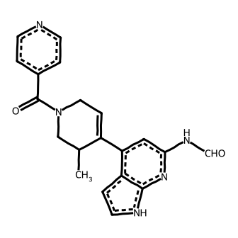 CC1CN(C(=O)c2ccncc2)CC=C1c1cc(NC=O)nc2[nH]ccc12